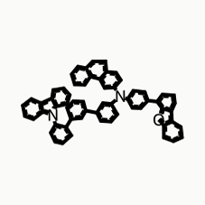 c1cc(-c2cccc(N(c3ccc(-c4cccc5c4oc4ccccc45)cc3)c3ccc4ccc5ccccc5c4c3)c2)cc(-c2ccccc2-n2c3ccccc3c3ccccc32)c1